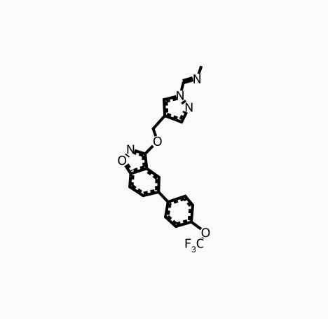 C/N=C/n1cc(COc2noc3ccc(-c4ccc(OC(F)(F)F)cc4)cc23)cn1